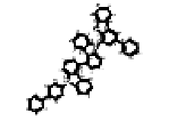 c1ccc(-c2ccc(-n3c4ccccc4c4c(-c5cccc6c5c5ccccc5n6-c5cc(-c6ccccc6)cc6c5oc5ccccc56)cccc43)cc2)cc1